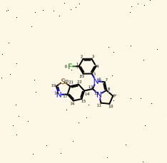 Fc1cccc(N2C=C3CCCN3C2c2ccc3ncsc3c2)c1